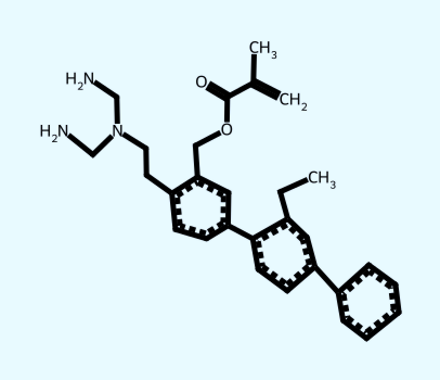 C=C(C)C(=O)OCc1cc(-c2ccc(-c3ccccc3)cc2CC)ccc1CCN(CN)CN